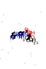 CC(C)(C)c1c(N[C@@H](Cc2ccc(Nc3nccc4cnccc34)cc2)C(=O)O)c(=O)c1=O